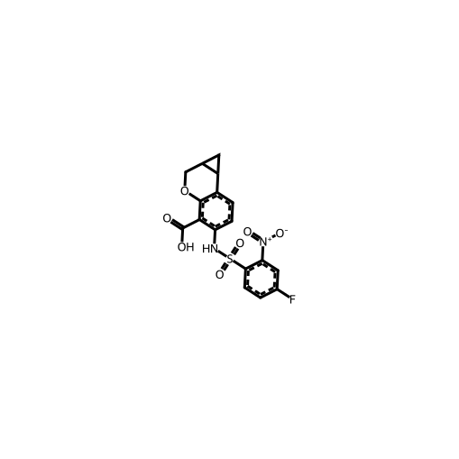 O=C(O)c1c(NS(=O)(=O)c2ccc(F)cc2[N+](=O)[O-])ccc2c1OCC1CC21